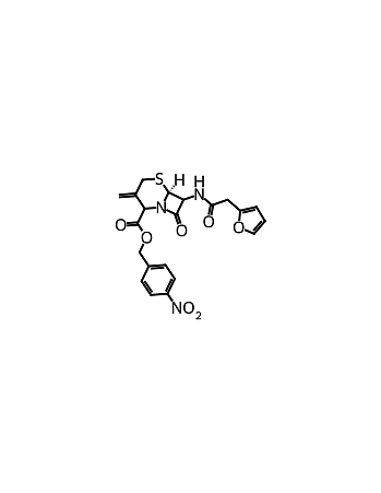 C=C1CS[C@H]2C(NC(=O)Cc3ccco3)C(=O)N2C1C(=O)OCc1ccc([N+](=O)[O-])cc1